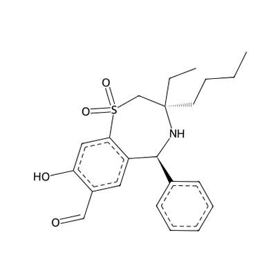 CCCC[C@@]1(CC)CS(=O)(=O)c2cc(O)c(C=O)cc2[C@H](c2ccccc2)N1